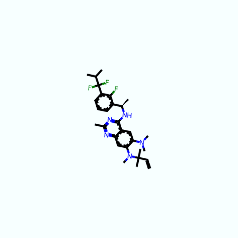 C=CC(C)(C)N(C)c1cc2nc(C)nc(N[C@H](C)c3cccc(C(F)(F)C(C)C)c3F)c2cc1N(C)C